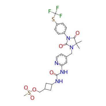 CC1(C)C(=O)N(c2ccc(SC(F)(F)F)cc2)C(=O)N1Cc1ccnc(NC(=O)NC2CC(COS(C)(=O)=O)C2)c1